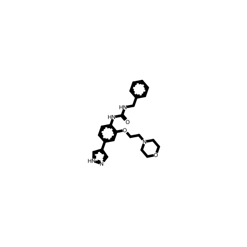 O=C(NCc1ccccc1)Nc1ccc(-c2cn[nH]c2)cc1OCCN1CCOCC1